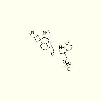 Cn1cnnc1C1(c2cccc(NC(=O)c3cc(COS(C)(=O)=O)c4c(n3)C(C)(C)CC4)c2)CC(CC#N)C1